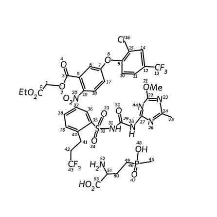 CCOC(=O)COC(=O)c1cc(Oc2ccc(C(F)(F)F)cc2Cl)ccc1[N+](=O)[O-].COc1nc(C)nc(NC(=O)NS(=O)(=O)c2ccccc2CCC(F)(F)F)n1.CP(=O)(O)CCC(N)C(=O)O